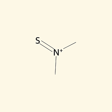 C[N+](C)=S